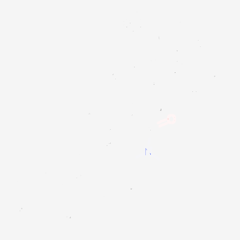 CN(C(=O)C12CC3CC(C1)CC(C14CC5CC(CC(C(=O)O)(C5)C1)C4)(C3)C2)C1CCC(c2ccccc2)CC1